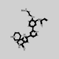 C=CC(=O)Nc1cc(-c2cc(-c3cc4c([nH]3)C3(CCCNC3)CNC4=O)ccn2)ccc1OCCOC